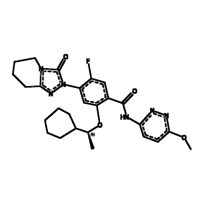 COc1ccc(NC(=O)c2cc(F)c(-n3nc4n(c3=O)CCCC4)cc2O[C@@H](C)C2CCCCC2)nn1